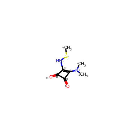 CSNc1c(N(C)C)c(=O)c1=O